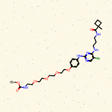 CC(C)(C)OC(=O)NCCOCCOCCOCCOc1ccc(Nc2ncc(Br)c(NCCCNC(=O)C3(C)CCC3)n2)cc1